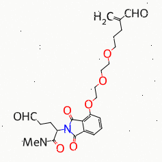 C=C(C=O)CCCOCCOCCOc1cccc2c1C(=O)N(C(CCC=O)C(=O)NC)C2=O